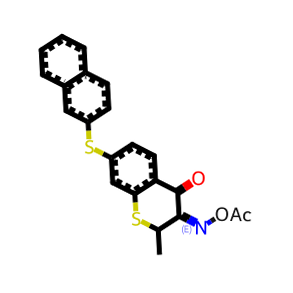 CC(=O)O/N=C1\C(=O)c2ccc(Sc3ccc4ccccc4c3)cc2SC1C